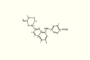 Cc1cc(Nc2ccc(C=O)nc2)c2cc(N3CCO[C@H](C)C3)ccc2n1